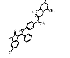 CC1CN(C)CC(C)N1CC(=O)N(C)c1ccc(N/C(=C2\C(=O)Nc3cc(Cl)ccc32)c2ccccc2)cc1